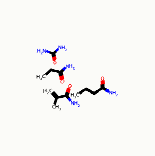 C=C(C)C(N)=O.CCC(N)=O.CCCC(N)=O.NC(N)=O